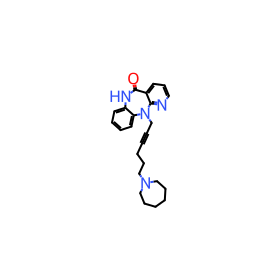 O=C1Nc2ccccc2N(CC#CCCCN2CCCCCC2)c2ncccc21